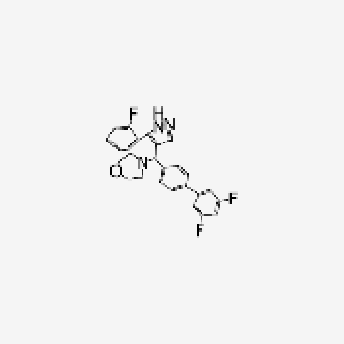 Fc1cc(F)cc(-c2ccc(C(c3cn[nH]c3-c3ccccc3F)N3CCOCC3)cc2)c1